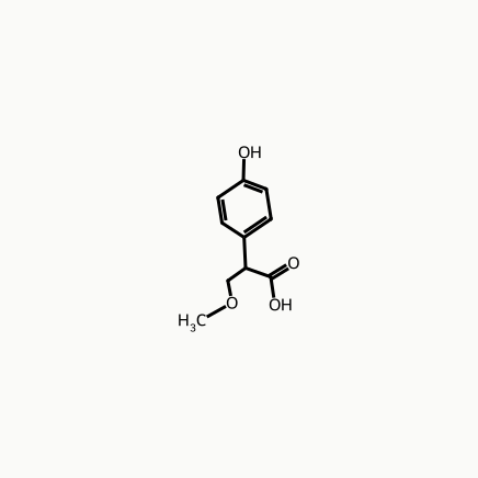 COCC(C(=O)O)c1ccc(O)cc1